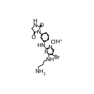 NCCCNc1nc(Nc2cccc(N3C(=O)CNC3=O)c2)ncc1Br.[Cl-].[H+]